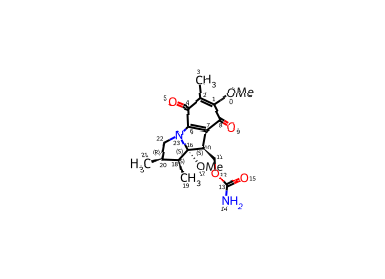 COC1=C(C)C(=O)C2=C(C1=O)[C@@H](COC(N)=O)[C@@]1(OC)[C@@H](C)[C@@H](C)CN21